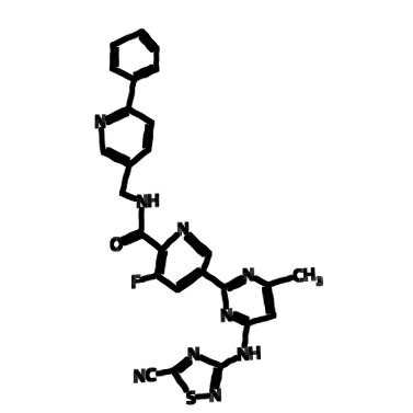 Cc1cc(Nc2nsc(C#N)n2)nc(-c2cnc(C(=O)NCc3ccc(-c4ccccc4)nc3)c(F)c2)n1